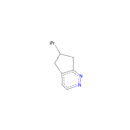 CC(C)C1Cc2ccnnc2C1